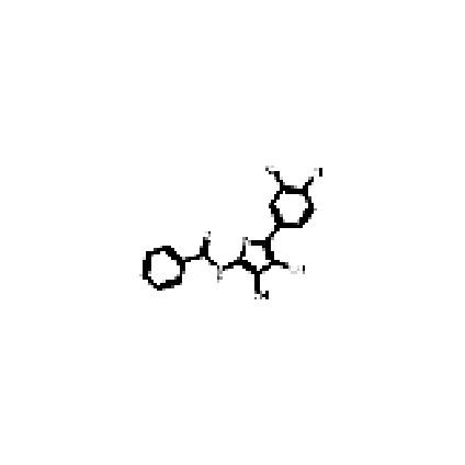 O=C(Nc1oc(-c2ccc(Cl)c(Cl)c2)c(O)c1O)c1ccccc1